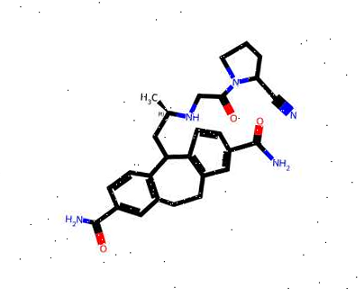 C[C@H](CC1c2ccc(C(N)=O)cc2CCc2cc(C(N)=O)ccc21)NCC(=O)N1CCCC1C#N